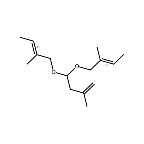 C=C(C)CC(OC/C(C)=C/C)OC/C(C)=C/C